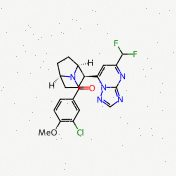 COc1ccc(C(=O)N2[C@H]3CC[C@H](c4cc(C(F)F)nc5ncnn45)[C@@H]2CC3)cc1Cl